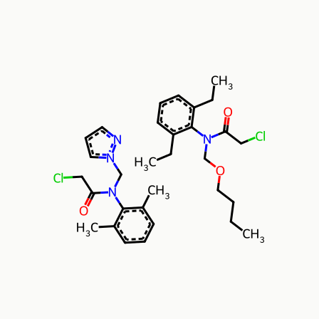 CCCCOCN(C(=O)CCl)c1c(CC)cccc1CC.Cc1cccc(C)c1N(Cn1cccn1)C(=O)CCl